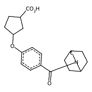 O=C(O)C1CCC(Oc2ccc(C(=O)N3CC4CCC(CC4)C3)cc2)C1